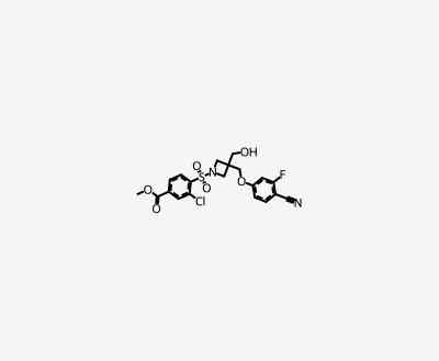 COC(=O)c1ccc(S(=O)(=O)N2CC(CO)(COc3ccc(C#N)c(F)c3)C2)c(Cl)c1